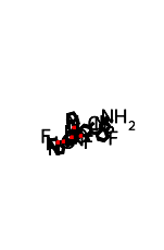 N#Cc1ccn(C(=O)N2CC3CCC(C2)N3c2nc(OC[C@@]34CCCN3C[C@H](F)C4)nc3c(F)c(-c4ccc(F)c5sc(N)nc45)c(Cl)cc23)c1